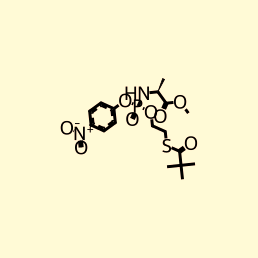 COC(=O)[C@H](C)NP(=O)(OCCSC(=O)C(C)(C)C)Oc1ccc([N+](=O)[O-])cc1